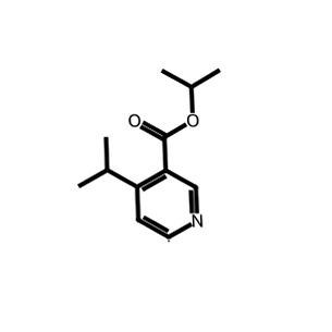 CC(C)OC(=O)c1cn[c]cc1C(C)C